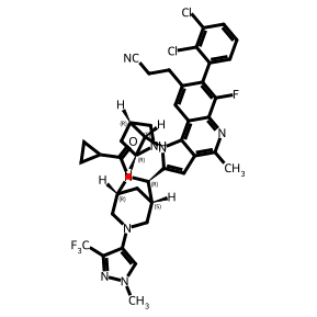 Cc1nc2c(F)c(-c3cccc(Cl)c3Cl)c(CCC#N)cc2c2c1cc([C@H]1[C@H]3C[C@H](CN(c4cn(C)nc4C(F)(F)F)C3)N1C(=O)C1CC1)n2[C@H]1[C@H]2CN[C@@H]1C2